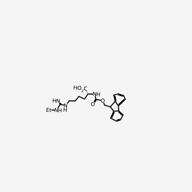 CCNC(=N)NCCCC[C@@H](NC(=O)OCC1c2ccccc2-c2ccccc21)C(=O)O